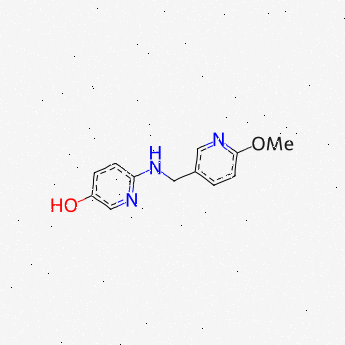 COc1ccc(CNc2ccc(O)cn2)cn1